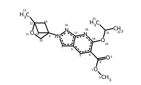 COC(=O)c1cc2cn(C34COC(C)(C3)C4)nc2nc1OC(C)C